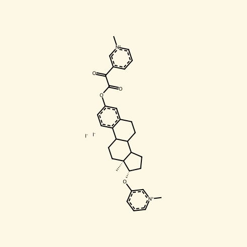 C[n+]1cccc(O[C@H]2CCC3C4CCc5cc(OC(=O)C(=O)c6ccc[n+](C)c6)ccc5C4CC[C@@]32C)c1.[I-].[I-]